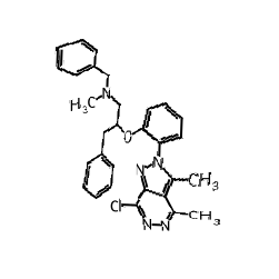 Cc1nnc(Cl)c2nn(-c3ccccc3OC(Cc3ccccc3)CN(C)Cc3ccccc3)c(C)c12